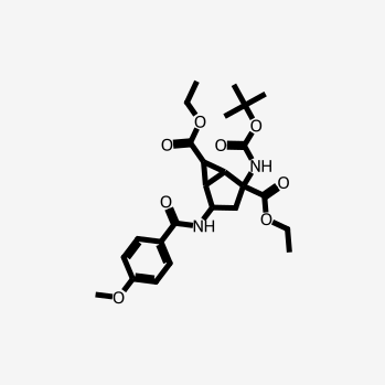 CCOC(=O)C1C2C(NC(=O)c3ccc(OC)cc3)CC(NC(=O)OC(C)(C)C)(C(=O)OCC)C12